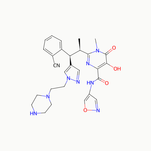 C[C@@H](c1nc(C(=O)Nc2cnoc2)c(O)c(=O)n1C)[C@@H](c1cnn(CCN2CCNCC2)c1)c1ccccc1C#N